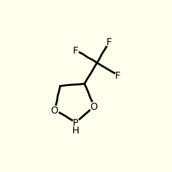 FC(F)(F)C1COPO1